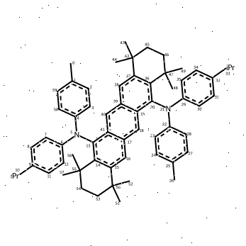 Cc1ccc(N(c2ccc(C(C)C)cc2)c2c3c(cc4cc5c(N(c6ccc(C)cc6)c6ccc(C(C)C)cc6)c6c(cc5cc24)C(C)(C)CCC6(C)C)C(C)(C)CCC3(C)C)cc1